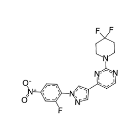 O=[N+]([O-])c1ccc(-n2cc(-c3ccnc(N4CCC(F)(F)CC4)n3)cn2)c(F)c1